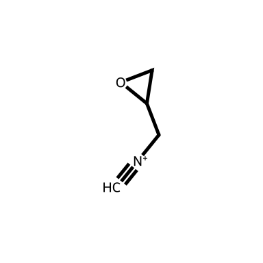 C#[N+]CC1CO1